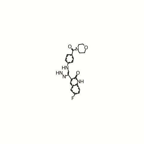 N=N/C(=C\Nc1ccc(C(=O)N2CCOCC2)cc1)c1cc2cc(F)ccc2[nH]c1=O